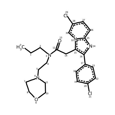 CCCN(CCN1CCOCC1)C(=O)Cc1c(-c2ccc(Cl)cc2)nc2ccc(Cl)cn12